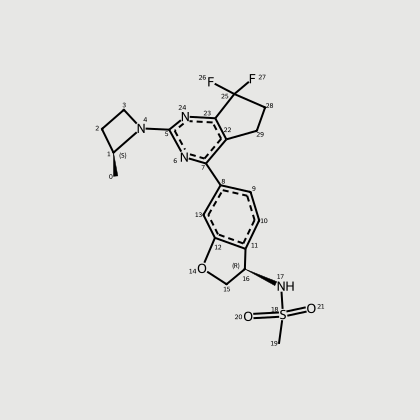 C[C@H]1CCN1c1nc(-c2ccc3c(c2)OC[C@@H]3NS(C)(=O)=O)c2c(n1)C(F)(F)CC2